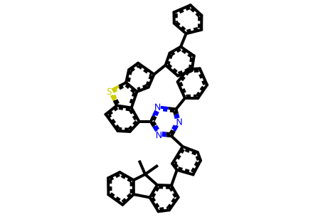 CC1(C)c2ccccc2-c2cccc(-c3cccc(-c4nc(-c5ccccc5)nc(-c5cccc6sc7ccc(-c8cccc(-c9ccccc9)c8)cc7c56)n4)c3)c21